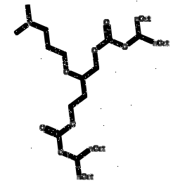 CCCCCCCCC(CCCCCCCC)OC(=O)OCCC(COC(=O)OC(CCCCCCCC)CCCCCCCC)OCCCN(C)C